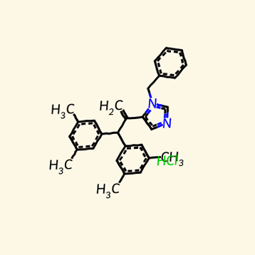 C=C(c1cncn1Cc1ccccc1)C(c1cc(C)cc(C)c1)c1cc(C)cc(C)c1.Cl